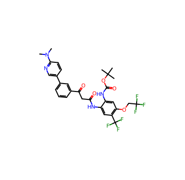 CN(C)c1ccc(-c2cccc(C(=O)CC(=O)Nc3cc(C(F)(F)F)c(OCC(F)(F)F)cc3NC(=O)OC(C)(C)C)c2)cn1